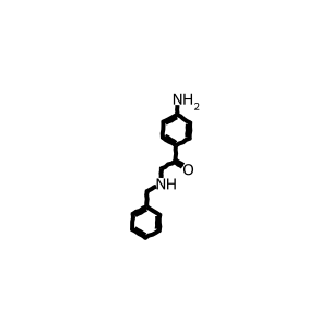 Nc1ccc(C(=O)CNCc2ccccc2)cc1